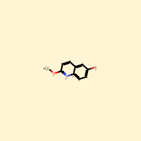 COc1[c]cc2cc(Br)ccc2n1